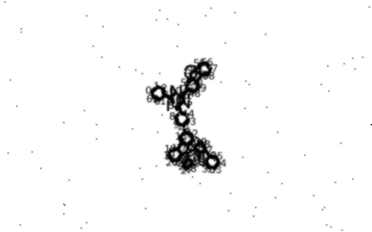 c1ccc(-c2nc(-c3ccc(-c4ccc5c(c4)-c4ccccc4C54c5ccccc5-n5c6ccccc6c6cccc4c65)cc3)nc(-c3ccc4c(c3)oc3ccccc34)n2)cc1